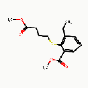 CCc1cccc(C(=O)OC)c1SCCCC(=O)OC